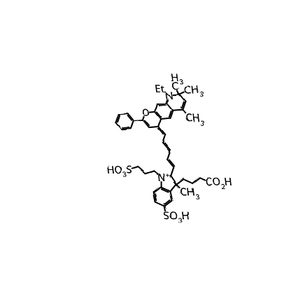 CCN1c2cc3c(cc2C(C)=CC1(C)C)/C(=C/C=C/C=C/C1=[N+](CCCS(=O)(=O)O)c2ccc(S(=O)(=O)O)cc2C1(C)CCCC(=O)O)C=C(c1ccccc1)O3